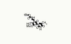 COC(=O)[C@H](CO)N(CCNC(=O)OC(C)(C)C)C(=O)Cn1cc(C)c(=O)[nH]c1=O